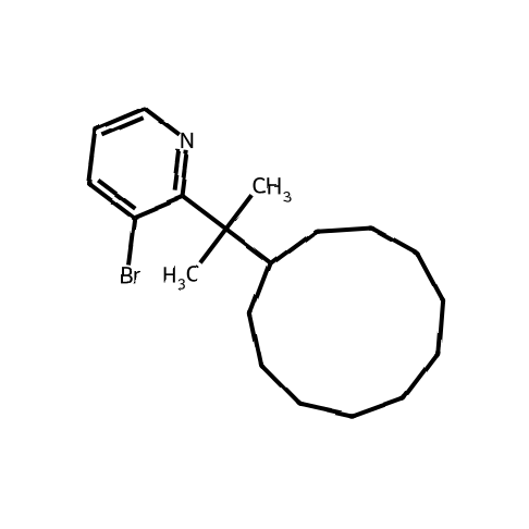 CC(C)(c1ncccc1Br)C1CCCCCCCCCC1